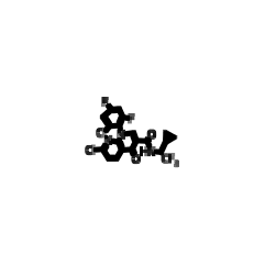 O=C(N[C@H](C1CC1)C(F)(F)F)c1cn(-c2c(F)cc(F)cc2Cl)c2nc(Cl)ccc2c1=O